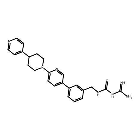 N=C(N)NC(=O)NCc1cccc(-c2cnc(N3CCC(c4ccncc4)CC3)nc2)c1